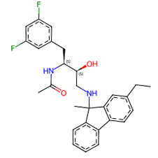 CCc1ccc2c(c1)C(C)(NC[C@H](O)[C@H](Cc1cc(F)cc(F)c1)NC(C)=O)c1ccccc1-2